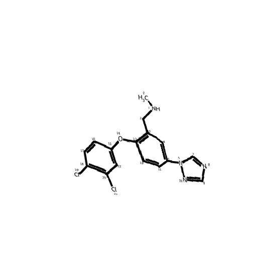 CNCc1cc(-n2cncn2)ccc1Oc1ccc(Cl)c(Cl)c1